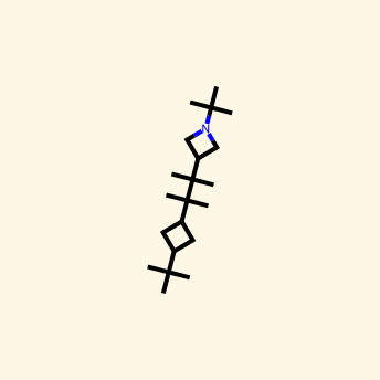 CC(C)(C)C1CC(C(C)(C)C(C)(C)C2CN(C(C)(C)C)C2)C1